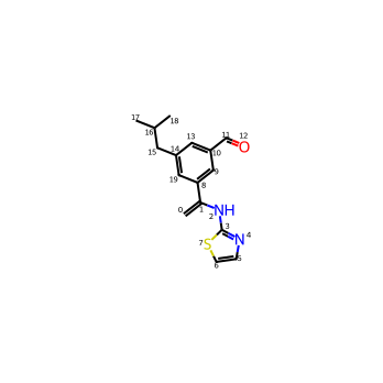 C=C(Nc1nccs1)c1cc(C=O)cc(CC(C)C)c1